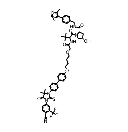 Cc1ncoc1-c1ccc(CNC(=O)[C@@H]2C[C@@H](O)CN2C(=O)C(NC(=O)COCCCCOc2ccc(-c3ccc(N4C(=S)N(c5ccc(C#N)c(C(F)(F)F)c5)C(=O)C4(C)C)cc3)cc2)C(C)(C)C)cc1